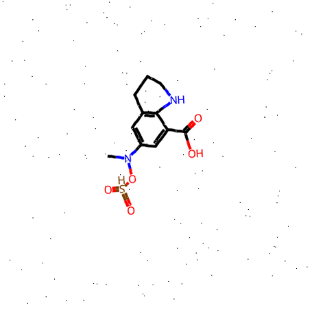 CN(O[SH](=O)=O)c1cc2c(c(C(=O)O)c1)NCCC2